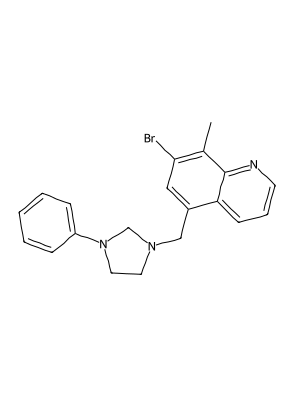 Cc1c(Br)cc(CN2CCN(c3ccccc3)C2)c2cccnc12